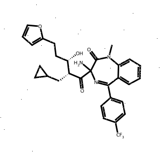 CN1C(=O)C(N)(C(=O)[C@H](CC2CC2)[C@@H](O)CCc2ccco2)N=C(c2ccc(C(F)(F)F)cc2)c2ccccc21